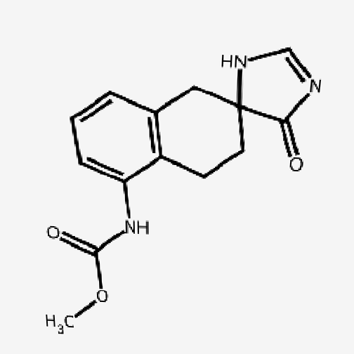 COC(=O)Nc1cccc2c1CCC1(C2)NC=NC1=O